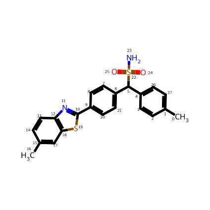 Cc1ccc(C(c2ccc(-c3nc4ccc(C)cc4s3)cc2)S(N)(=O)=O)cc1